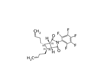 C=CCC[C@H]1[C@H](CCC=C)[C@@H]2C(=O)N(c3c(F)c(F)c(F)c(F)c3F)C(=O)[C@H]12